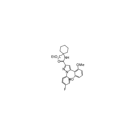 CCOC(=O)C1(NC(=O)c2cc(-c3c(O)cccc3OC)n(C3=C=C=C(F)C=C3)n2)CCCCC1